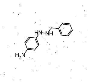 Nc1ccc(NN[CH]c2ccccc2)cc1